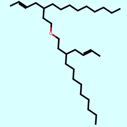 CC=CCC(CCCCCCCCC)CCOCCC(CC=CC)CCCCCCCCC